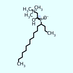 CCCCCCCCCCCCC(CCC)/[P+]([O-])=C(\O)C[N+](C)(C)C